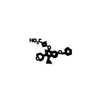 O=C(O)[C@H]1C[C@H](Oc2nc(C3CCOCC3)c(C3CC3)c3ccc(OCc4ccccc4)cc23)C1